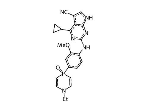 CCN1C=CP(=O)(c2ccc(Nc3nc(C4CC4)c4c(C#N)c[nH]c4n3)c(OC)c2)C=C1